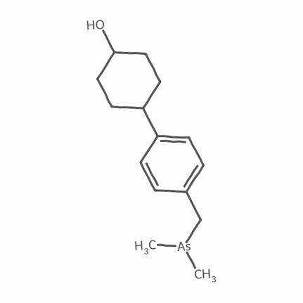 C[As](C)Cc1ccc(C2CCC(O)CC2)cc1